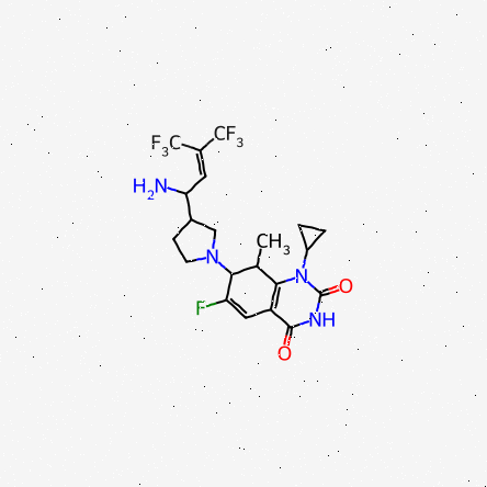 CC1c2c(c(=O)[nH]c(=O)n2C2CC2)C=C(F)C1N1CCC(C(N)C=C(C(F)(F)F)C(F)(F)F)C1